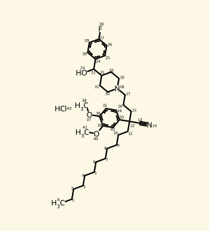 CCCCCCCCCCCCC(C#N)(CCCN1CCC(C(O)c2ccc(F)cc2)CC1)c1ccc(OC)c(OC)c1.Cl